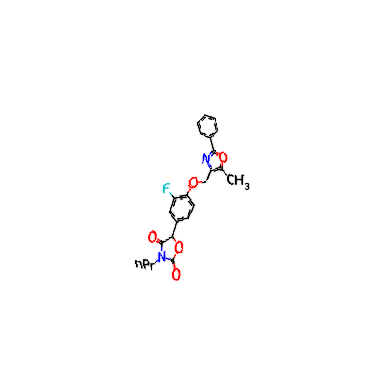 CCCN1C(=O)OC(c2ccc(OCc3nc(-c4ccccc4)oc3C)c(F)c2)C1=O